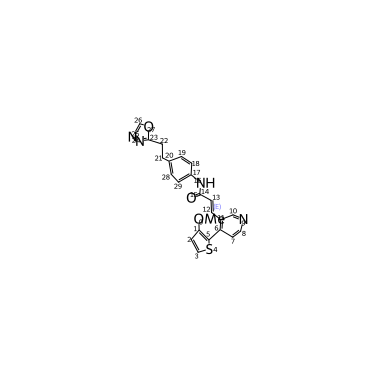 COc1ccsc1-c1ccncc1/C=C/C(=O)Nc1ccc(CCc2nnco2)cc1